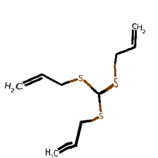 C=CCS[C](SCC=C)SCC=C